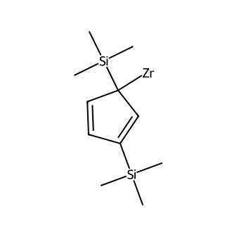 C[Si](C)(C)C1=C[C]([Zr])([Si](C)(C)C)C=C1